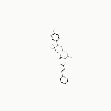 CC(C)[C@@H](NC(=O)/C=C/c1ccccn1)C(=O)N1CCC(c2ccc(Cl)cc2)C(C)(C)C1